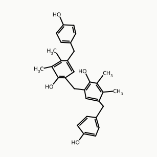 Cc1c(Cc2ccc(O)cc2)cc(Cc2cc(Cc3ccc(O)cc3)c(C)c(C)c2O)c(O)c1C